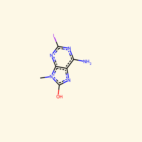 Cn1c(O)nc2c(N)nc(I)nc21